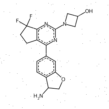 NC1COc2cc(-c3nc(N4CC(O)C4)nc4c3CCC4(F)F)ccc21